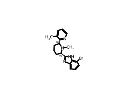 Cc1cccnc1[C@@H]1CCC[C@H](c2nc3cccc(Br)c3[nH]2)N1C